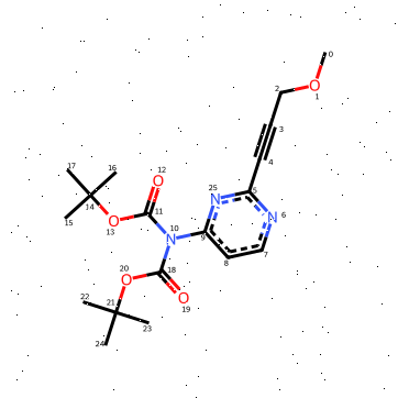 COCC#Cc1nccc(N(C(=O)OC(C)(C)C)C(=O)OC(C)(C)C)n1